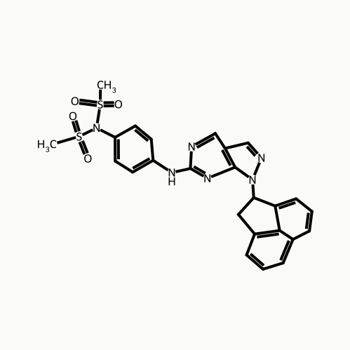 CS(=O)(=O)N(c1ccc(Nc2ncc3cnn(C4Cc5cccc6cccc4c56)c3n2)cc1)S(C)(=O)=O